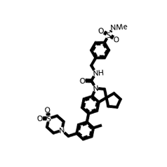 CNS(=O)(=O)c1ccc(CNC(=O)N2CC3(CCCC3)c3cc(-c4cc(CN5CCS(=O)(=O)CC5)ccc4C)ccc32)cc1